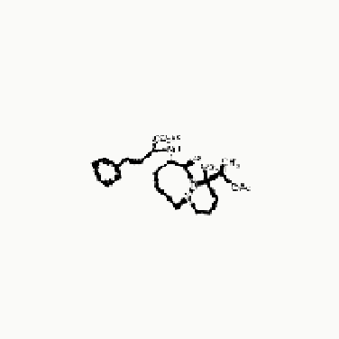 CCOC(=O)[C@H](CCc1ccccc1)N[C@H]1CCCN2CCC[C@@](C(=O)O)(C(C)OC(C)=O)N2C1=O